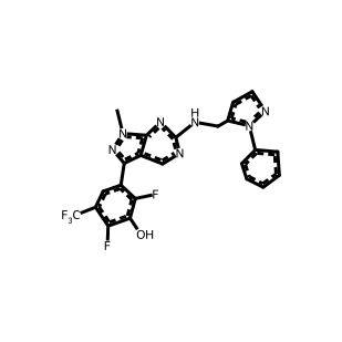 Cn1nc(-c2cc(C(F)(F)F)c(F)c(O)c2F)c2cnc(NCc3ccnn3-c3ccccc3)nc21